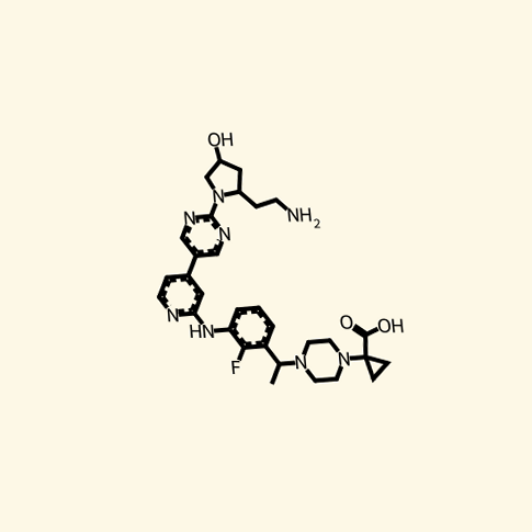 CC(c1cccc(Nc2cc(-c3cnc(N4CC(O)CC4CCN)nc3)ccn2)c1F)N1CCN(C2(C(=O)O)CC2)CC1